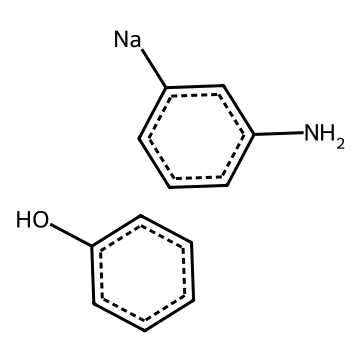 Nc1ccc[c]([Na])c1.Oc1ccccc1